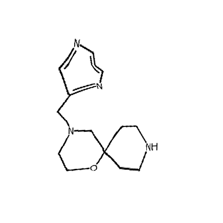 c1cnc(CN2CCOC3(CCNCC3)C2)cn1